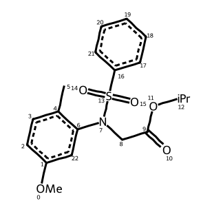 COc1ccc(C)c(N(CC(=O)OC(C)C)S(=O)(=O)c2ccccc2)c1